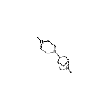 CN1CCN(C2CC3CC2CN3C)CC1